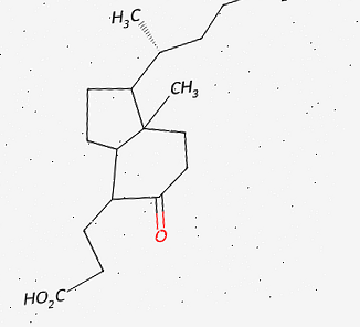 C[C@H](CCC(=O)O)C1CCC2C(CCC(=O)O)C(=O)CCC21C